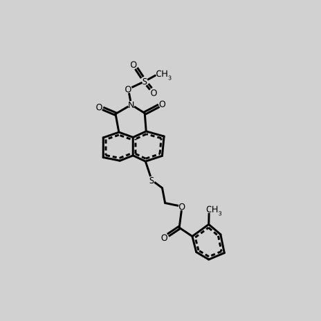 Cc1ccccc1C(=O)OCCSc1ccc2c3c(cccc13)C(=O)N(OS(C)(=O)=O)C2=O